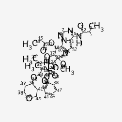 CCC(=O)Nc1ncnn2c([C@H](OC(=O)CC)[C@H](OC(=O)CC)[C@@](C#N)(COP(=O)(N[C@@H](C)C(=O)OC3CCOCC3)Oc3ccccc3)OC)ccc12